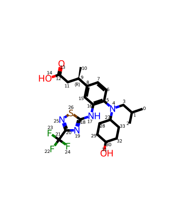 CC(C)CN(c1ccc([C@H](C)CC(=O)O)cc1Nc1nc(C(F)(F)F)ns1)C1CCC(O)CC1